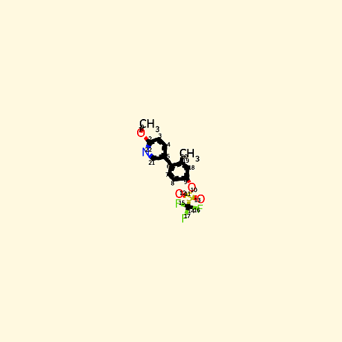 COc1ccc(-c2ccc(OS(=O)(=O)C(F)(F)F)cc2C)cn1